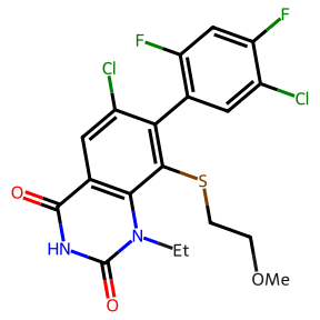 CCn1c(=O)[nH]c(=O)c2cc(Cl)c(-c3cc(Cl)c(F)cc3F)c(SCCOC)c21